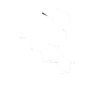 COC(=O)c1cc(CN2CCC[C@H](C)C2)c2[nH]cc(Cl)c2n1